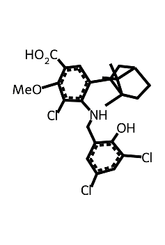 COc1c(C(=O)O)cc(C2CC3CCC2(C)C3(C)C)c(NCc2cc(Cl)cc(Cl)c2O)c1Cl